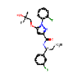 CC(C)[C@](C)(O)COc1cc(C(=O)N[C@@H](CC(=O)O)c2cccc(Cl)c2)nn1-c1ccccc1F